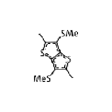 CSc1c(C)sc2c(SC)c(C)sc12